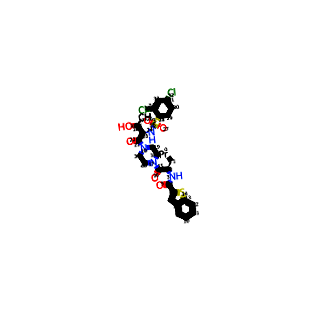 CC(C)C[C@H](NC(=O)c1cc2ccccc2s1)C(=O)N1CCN(C(=O)[C@@H](NS(=O)(=O)C2CC=C(Cl)C=C2Cl)[C@@H](C)O)CC1